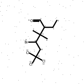 CCC(C=O)C(C)(C)C(Br)CC(Cl)(Cl)Cl